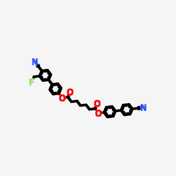 N#Cc1ccc(-c2ccc(OC(=O)CCCCCC(=O)Oc3ccc(-c4ccc(C#N)c(CF)c4)cc3)cc2)cc1